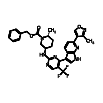 Cc1nocc1-c1ccc2c(-c3nc(N[C@@H]4CC[C@@H](C)N(C(=O)OCc5ccccc5)C4)ncc3C(F)(F)F)c[nH]c2n1